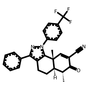 C[C@H]1C(=O)C(C#N)=C[C@@]2(C)c3c(c(-c4ccccc4)nn3-c3ccc(C(F)(F)F)cc3)CC[C@H]12